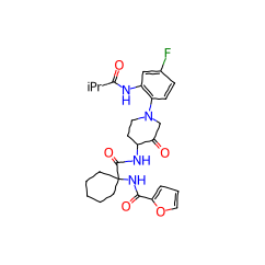 CC(C)C(=O)Nc1cc(F)ccc1N1CCC(NC(=O)C2(NC(=O)c3ccco3)CCCCC2)C(=O)C1